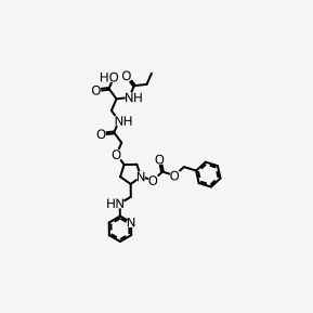 CCC(=O)NC(CNC(=O)COC1CC(CNc2ccccn2)N(OC(=O)OCc2ccccc2)C1)C(=O)O